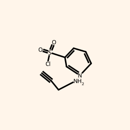 C#CCN.O=S(=O)(Cl)c1cccnc1